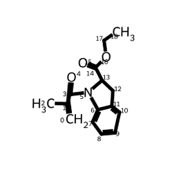 C=C(C)C(=O)N1c2ccccc2CC1C(=O)OCC